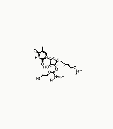 Cc1cn([C@@H]2O[C@H](COCCON(C)C)[C@@H](OP(OCCC#N)N(C(C)C)C(C)C)[C@H]2O)c(=O)[nH]c1=O